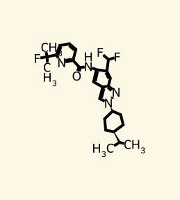 CC(C)[C@H]1CC[C@H](n2cc3cc(NC(=O)c4cccc(C(C)(C)F)n4)c(C(F)F)cc3n2)CC1